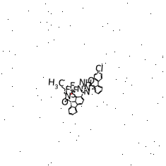 CCCCN(CC(F)(F)F)C(=O)C1c2ccccc2C2=CC=C(c3nc(N)n(C(=O)c4ccccc4-c4ccc(Cl)cc4)n3)C(=S)C21